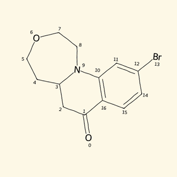 O=C1CC2CCOCCN2c2cc(Br)ccc21